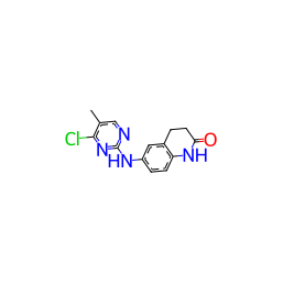 Cc1cnc(Nc2ccc3c(c2)CCC(=O)N3)nc1Cl